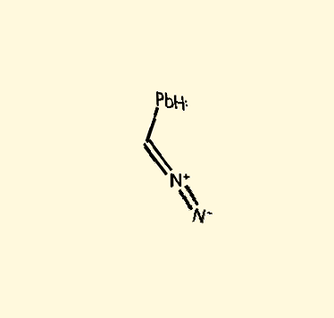 [N-]=[N+]=[CH][PbH]